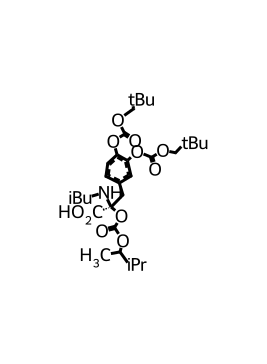 CCC(C)N[C@@](Cc1ccc(OC(=O)OCC(C)(C)C)c(OC(=O)OCC(C)(C)C)c1)(OC(=O)OC(C)C(C)C)C(=O)O